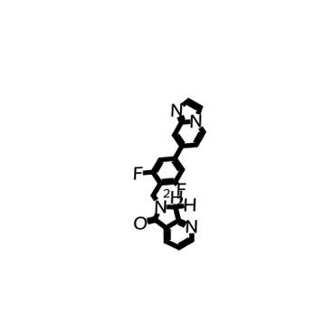 [2H]C1([2H])c2ncccc2C(=O)N1Cc1c(F)cc(-c2ccn3ccnc3c2)cc1F